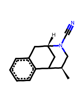 C[C@@H]1CN(C#N)[C@H]2Cc3ccccc3C1C2